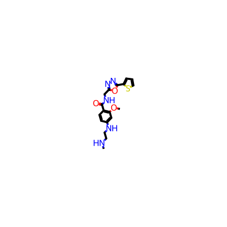 CNCCNc1ccc(C(=O)NCc2nnc(-c3cccs3)o2)c(OC)c1